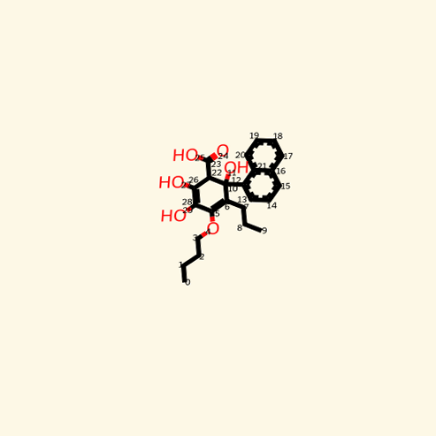 CCCCOC1=C(CCC)C(O)(c2cccc3ccccc23)C(C(=O)O)C(O)=C1O